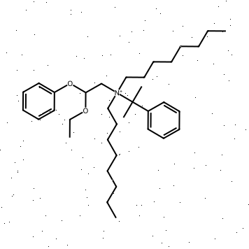 CCCCCCCC[N+](CCCCCCCC)(CC(OCC)Oc1ccccc1)C(C)(C)c1ccccc1